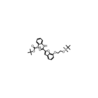 CC(C)(C)OC(=O)Nc1ccccc1NC(=O)c1cc2cccc(OCCO[Si](C)(C)C(C)(C)C)c2o1